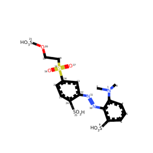 CN(C)c1cccc(S(=O)(=O)O)c1N=Nc1cc(S(=O)(=O)CCOS(=O)(=O)O)ccc1S(=O)(=O)O